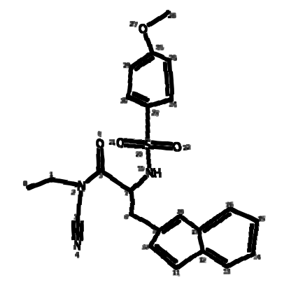 CCN(C#N)C(=O)C(Cc1ccc2ccccc2c1)NS(=O)(=O)c1ccc(OC)cc1